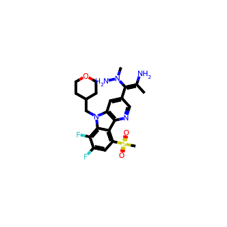 C/C(N)=C(\c1cnc2c3c(S(C)(=O)=O)cc(F)c(F)c3n(CC3CCOCC3)c2c1)N(C)N